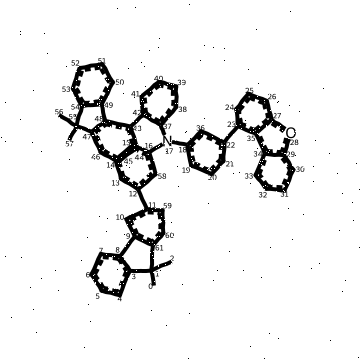 CC1(C)c2ccccc2-c2cc(-c3cccc(N(c4cccc(-c5cccc6oc7ccccc7c56)c4)c4ccccc4-c4cccc5c4-c4ccccc4C5(C)C)c3)ccc21